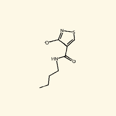 CCCCNC(=O)c1csnc1[O]